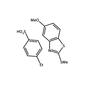 CCc1ccc(S(=O)(=O)O)cc1.COc1ccc2sc(SC)nc2c1